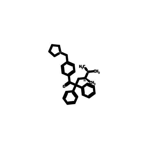 C[C@@H](CC(C(=O)c1ccc(CN2CCCC2)cc1)(c1ccccc1)c1ccccc1)N(C)C